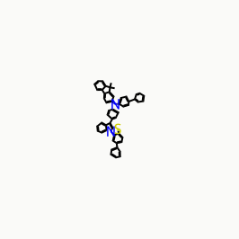 CC1(C)c2ccccc2-c2ccc(N(c3ccc(-c4ccccc4)cc3)c3ccc(-c4c5ccccc5n5c4sc4ccc(-c6ccccc6)cc45)cc3)cc21